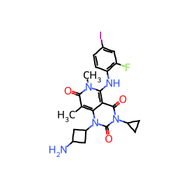 Cc1c(=O)n(C)c(Nc2ccc(I)cc2F)c2c(=O)n(C3CC3)c(=O)n(C3CC(N)C3)c12